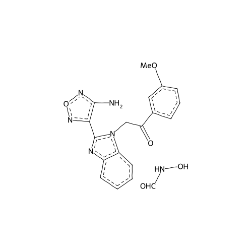 COc1cccc(C(=O)Cn2c(-c3nonc3N)nc3ccccc32)c1.O=CNO